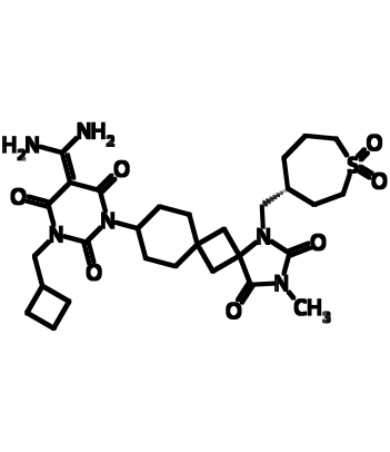 CN1C(=O)N(C[C@@H]2CCCS(=O)(=O)CC2)C2(CC3(CCC(N4C(=O)C(=C(N)N)C(=O)N(CC5CCC5)C4=O)CC3)C2)C1=O